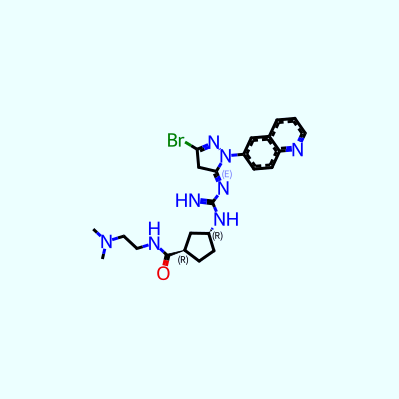 CN(C)CCNC(=O)[C@@H]1CC[C@@H](NC(=N)/N=C2\CC(Br)=NN2c2ccc3ncccc3c2)C1